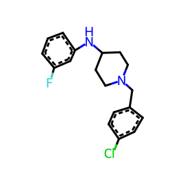 Fc1cccc(NC2CCN(Cc3ccc(Cl)cc3)CC2)c1